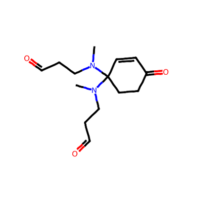 CN(CCC=O)C1(N(C)CCC=O)C=CC(=O)CC1